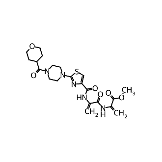 C=C(NC(=O)c1csc(N2CCN(C(=O)C3CCOCC3)CC2)n1)C(=O)NC(=C)C(=O)OC